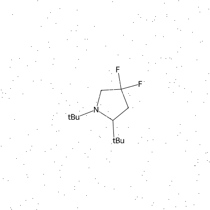 CC(C)(C)C1CC(F)(F)CN1C(C)(C)C